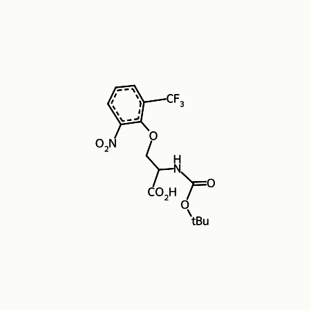 CC(C)(C)OC(=O)NC(COc1c([N+](=O)[O-])cccc1C(F)(F)F)C(=O)O